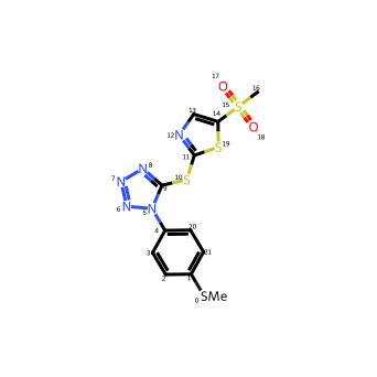 CSc1ccc(-n2nnnc2Sc2ncc(S(C)(=O)=O)s2)cc1